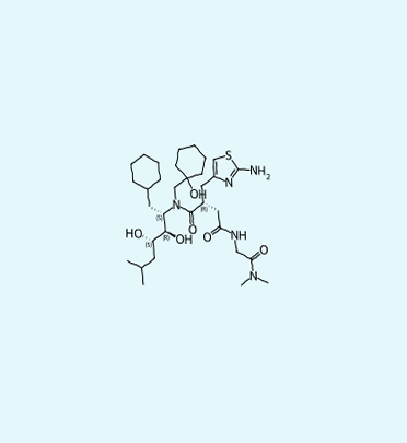 CC(C)C[C@H](O)[C@H](O)[C@H](CC1CCCCC1)N(CC1(O)CCCCC1)C(=O)[C@@H](CC(=O)NCC(=O)N(C)C)Cc1csc(N)n1